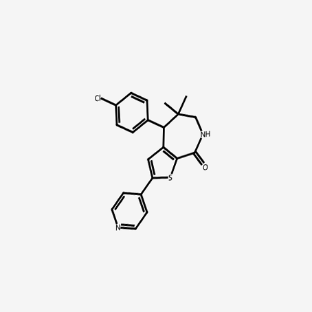 CC1(C)CNC(=O)c2sc(-c3ccncc3)cc2C1c1ccc(Cl)cc1